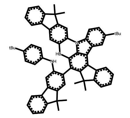 CC(C)(C)c1ccc(Nc2cc3c(cc2-c2c4c(c5c6cc(C(C)(C)C)ccc6n6c5c2Bc2cc5c(cc2-6)C(C)(C)c2ccccc2-5)-c2ccccc2C4(C)C)C(C)(C)c2ccccc2-3)cc1